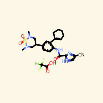 CN1CC(c2ccc(NC(=O)c3nc(C#N)c[nH]3)c(C3=CCCCC3)c2)CN(C)S1(=O)=O.O=C(O)C(F)(F)F